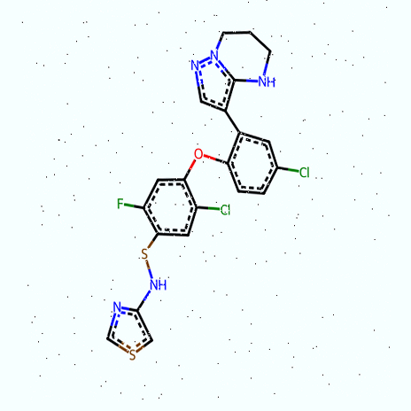 Fc1cc(Oc2ccc(Cl)cc2-c2cnn3c2NCCC3)c(Cl)cc1SNc1cscn1